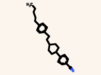 CCCCCc1ccc(CCC2CCC(c3ccc(C#N)cc3)CC2)cc1